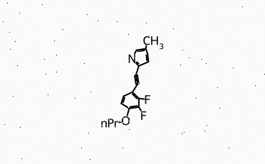 CCCOc1ccc(C#Cc2ccc(C)cn2)c(F)c1F